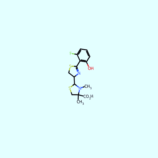 CN1C(C2CSC(c3c(O)cccc3F)=N2)SCC1(C)C(=O)O